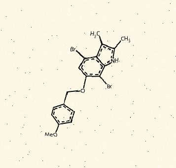 COc1ccc(COc2cc(Br)c3c(C)c(C)[nH]c3c2Br)cc1